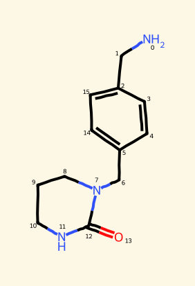 NCc1ccc(CN2CCCNC2=O)cc1